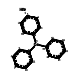 Br.c1cc[c]([Ge]([c]2ccccc2)[c]2ccccc2)cc1